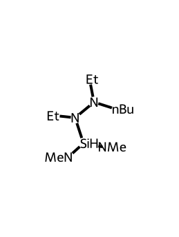 CCCCN(CC)N(CC)[SiH](NC)NC